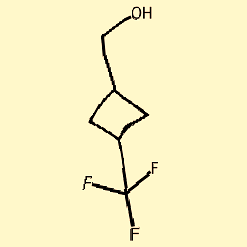 OCC1CC(C(F)(F)F)C1